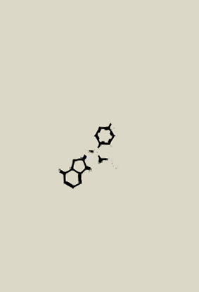 NNC(=O)N(/N=C1/CC2C(=O)C=CC=C2C1=O)c1ccc(F)cc1